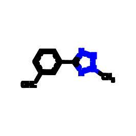 Cn1nnc(-c2cccc(C=O)c2)n1